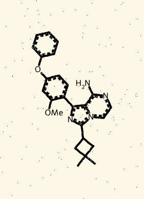 COc1cc(Oc2ccccc2)ccc1-c1nc(C2CC(C)(C)C2)n2ccnc(N)c12